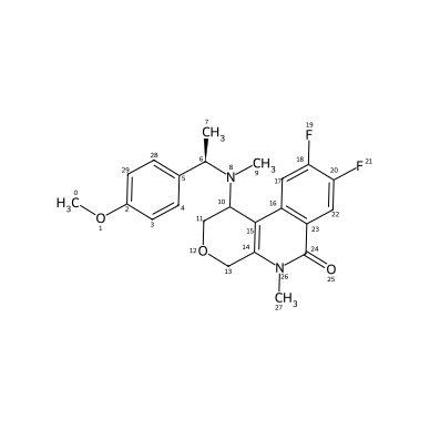 COc1ccc([C@@H](C)N(C)C2COCc3c2c2cc(F)c(F)cc2c(=O)n3C)cc1